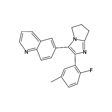 Cc1ccc(F)c(-c2nc3n(c2-c2ccc4ncccc4c2)CCC3)c1